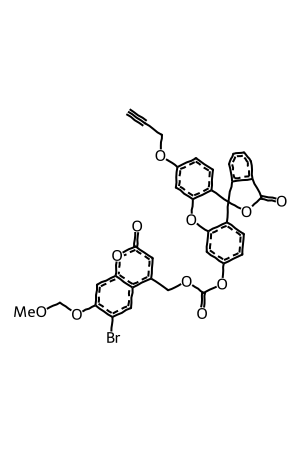 C#CCOc1ccc2c(c1)Oc1cc(OC(=O)OCc3cc(=O)oc4cc(OCOC)c(Br)cc34)ccc1C21OC(=O)c2ccccc21